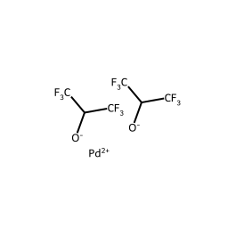 [O-]C(C(F)(F)F)C(F)(F)F.[O-]C(C(F)(F)F)C(F)(F)F.[Pd+2]